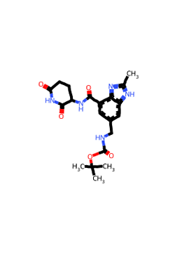 Cc1nc2c(C(=O)NC3CCC(=O)NC3=O)cc(CNC(=O)OC(C)(C)C)cc2[nH]1